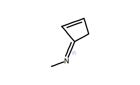 C/N=C1\C=CC1